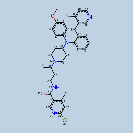 COc1ccc(N(c2ccccc2Cc2cnccc2C)C2CCN([C@H](C)CCNC(=O)c3cnc(Cl)cc3C)CC2)cc1